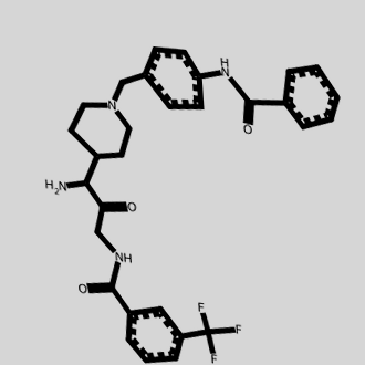 NC(C(=O)CNC(=O)c1cccc(C(F)(F)F)c1)C1CCN(Cc2ccc(NC(=O)c3ccccc3)cc2)CC1